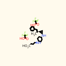 C/C(=C\c1ccccc1)[C@@H]1C[C@H]1N[C@H]1CC[C@@H](NCCCC(=O)O)CC1.O=C(O)C(F)(F)F.O=C(O)C(F)(F)F